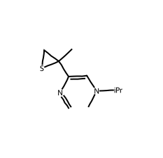 C=N/C(=C\N(C)C(C)C)C1(C)CS1